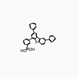 OB(O)c1cccc(-c2cc(-c3ccccc3)cc3c2sc2ccc(-c4ccccc4)cc23)c1